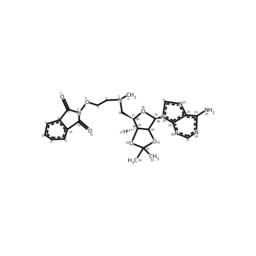 CN(CCON1C(=O)c2ccccc2C1=O)C[C@H]1O[C@@H](n2cnc3c(N)ncnc32)C2OC(C)(C)O[C@H]21